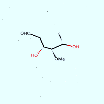 CO[C@@H]([C@H](C)O)[C@H](O)CC=O